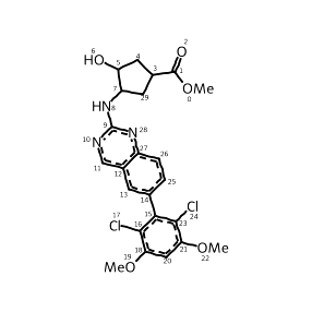 COC(=O)C1CC(O)C(Nc2ncc3cc(-c4c(Cl)c(OC)cc(OC)c4Cl)ccc3n2)C1